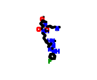 CNc1nc(Nc2ccc(F)cc2)ncc1C#CCCCNC(=O)[C@@H]1C[C@H](OC)CN1C(=O)C=CCN(C)C